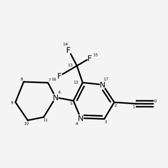 C#Cc1cnc(N2CCCCC2)c(C(F)(F)F)n1